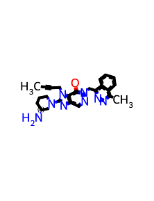 CC#CCn1c(N2CCC[C@@H](N)C2)nc2cnn(Cc3nnc(C)c4ccccc34)c(=O)c21